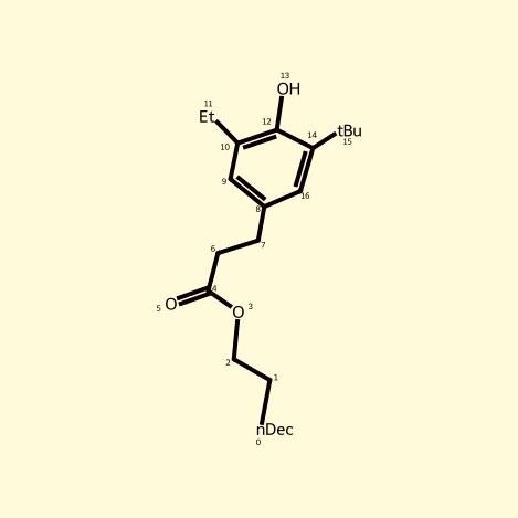 CCCCCCCCCCCCOC(=O)CCc1cc(CC)c(O)c(C(C)(C)C)c1